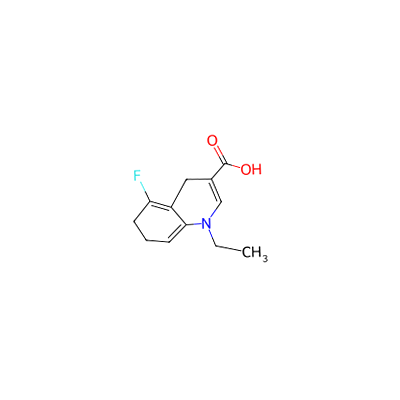 CCN1C=C(C(=O)O)CC2=C(F)CCC=C21